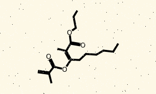 C=C(C)C(=O)OC(CCCCCC)=C(C)C(=O)OCCC